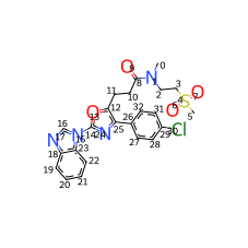 CN(CCS(C)(=O)=O)C(=O)CCc1oc(-n2cnc3ccccc32)nc1-c1ccc(Cl)cc1